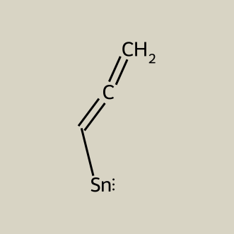 C=C=[CH][Sn]